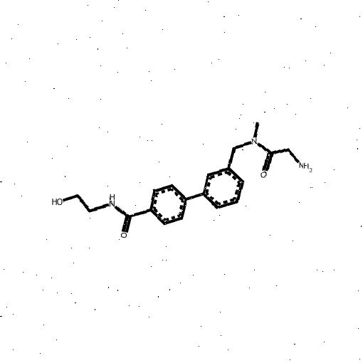 CN(Cc1cccc(-c2ccc(C(=O)NCCO)cc2)c1)C(=O)CN